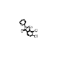 O=c1c2ccc(Cl)c(Cl)c2[se]n1-c1ccccn1